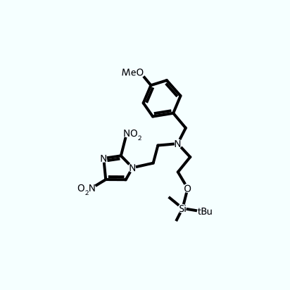 COc1ccc(CN(CCO[Si](C)(C)C(C)(C)C)CCn2cc([N+](=O)[O-])nc2[N+](=O)[O-])cc1